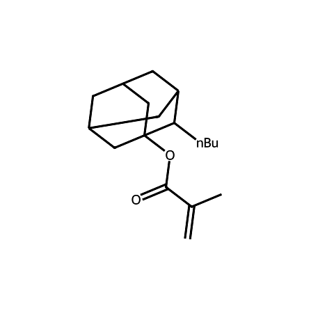 C=C(C)C(=O)OC12CC3CC(CC(C3)C1CCCC)C2